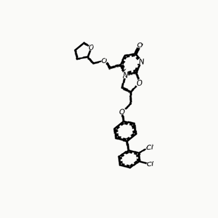 O=c1cc(COCC2CCCO2)n2c(n1)OC(COc1ccc(-c3cccc(Cl)c3Cl)cc1)C2